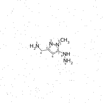 Cn1nc(CN)cc1NN